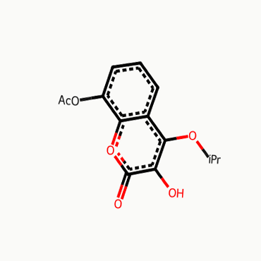 CC(=O)Oc1cccc2c(OC(C)C)c(O)c(=O)oc12